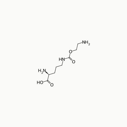 NCCOC(=O)NCCC[C@H](N)C(=O)O